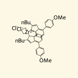 CCCCC1=Cc2c(-c3ccc(OC)cc3)cccc2[CH]1[Zr+2]1([CH]2C(CCCC)=Cc3c(-c4ccc(OC)cc4)cccc32)[CH2]C[CH2]1.[Cl-].[Cl-]